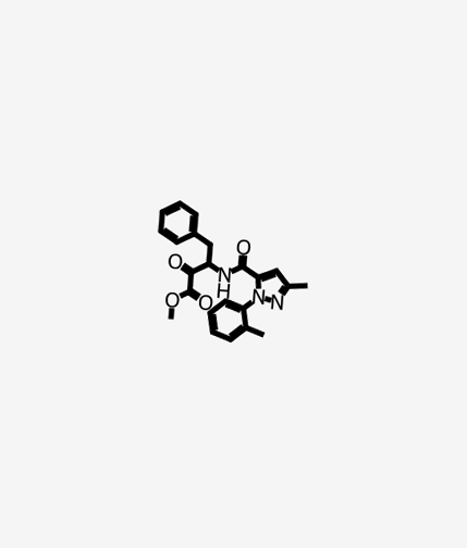 COC(=O)C(=O)C(Cc1ccccc1)NC(=O)c1cc(C)nn1-c1ccccc1C